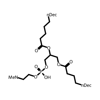 CCCCCCCCCCCCCCC(=O)OC(COC(=O)CCCCCCCCCCCCC)COP(=O)(O)OCCNC